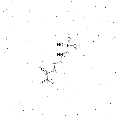 C=C(C)C(=O)OCCNCP(=O)(O)O